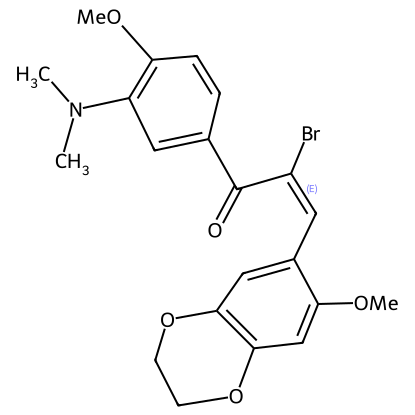 COc1cc2c(cc1/C=C(/Br)C(=O)c1ccc(OC)c(N(C)C)c1)OCCO2